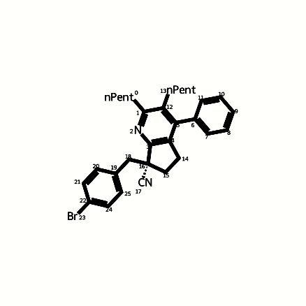 CCCCCc1nc2c(c(-c3ccccc3)c1CCCCC)CC[C@@]2(C#N)Cc1ccc(Br)cc1